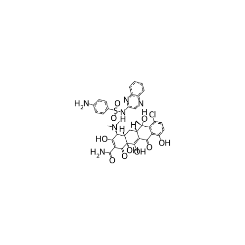 CN(C)[C@@H]1C(O)=C(C(N)=O)C(=O)[C@@]2(O)C(O)=C3C(=O)c4c(O)ccc(Cl)c4[C@@](C)(O)[C@H]3C[C@@H]12.Nc1ccc(S(=O)(=O)Nc2cnc3ccccc3n2)cc1